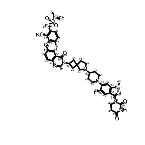 CCN(C)S(=O)(=O)Nc1ccc(F)c(Oc2ccc3ncn(C4CC5(CCN(C6CCN(c7cc8c(cc7F)c(N7CCC(=O)NC7=O)nn8C)CC6)C5)C4)c(=O)c3c2)c1C#N